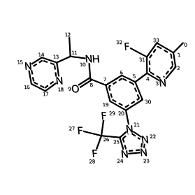 Cc1cnc(-c2cc(C(=O)NC(C)c3cnccn3)cc(-n3nnnc3C(F)(F)F)c2)c(F)c1